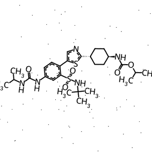 CC(C)NC(=O)Nc1ccc(-c2cnc([C@H]3CC[C@H](NC(=O)OC(C)C)CC3)s2)c(S(=O)(=O)NC(C)(C)C)c1